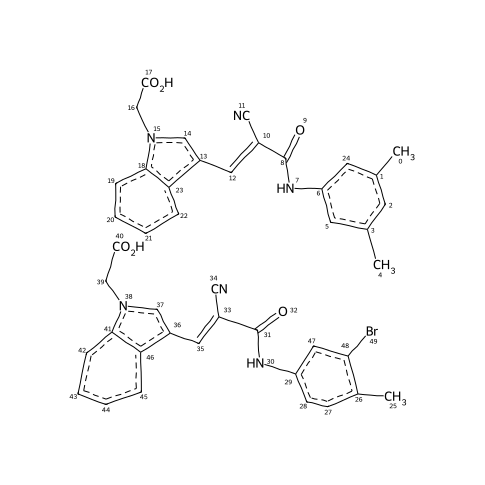 Cc1cc(C)cc(NC(=O)/C(C#N)=C/c2cn(CC(=O)O)c3ccccc23)c1.Cc1ccc(NC(=O)/C(C#N)=C/c2cn(CC(=O)O)c3ccccc23)cc1Br